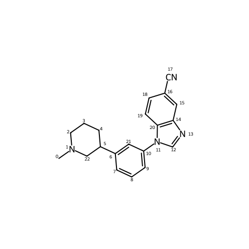 CN1CCCC(c2cccc(-n3cnc4cc(C#N)ccc43)c2)C1